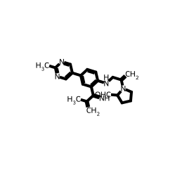 C=C(C)C(=N)c1cc(-c2cnc(C)nc2)ccc1NCC(=C)N1CCCC1C=O